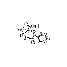 CC1(C(=O)O)N=C(c2cncnc2)C(Cl)=CN1